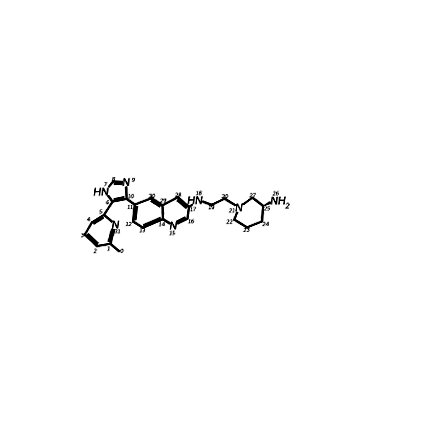 Cc1cccc(-c2[nH]cnc2-c2ccc3ncc(NCCN4CCC[C@H](N)C4)cc3c2)n1